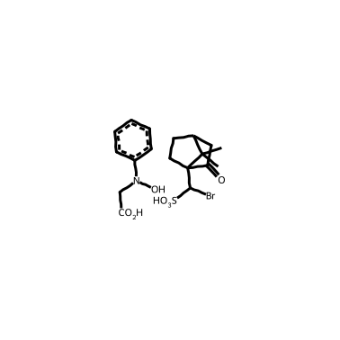 CC1(C)C2CCC1(C(Br)S(=O)(=O)O)C(=O)C2.O=C(O)CN(O)c1ccccc1